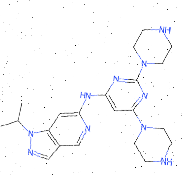 CC(C)n1ncc2cnc(Nc3cc(N4CCNCC4)nc(N4CCNCC4)n3)cc21